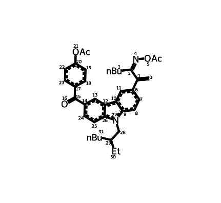 C=C(/C(CCCC)=N\OC(C)=O)c1ccc2c(c1)c1cc(C(=O)c3ccc(OC(C)=O)cc3)ccc1n2CC(CC)CCCC